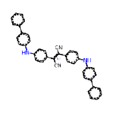 N#C/C(=C(/C#N)c1ccc(Nc2ccc(-c3ccccc3)cc2)cc1)c1ccc(Nc2ccc(-c3ccccc3)cc2)cc1